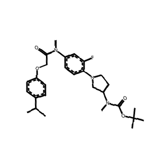 CC(C)c1ccc(OCC(=O)N(C)c2ccc(N3CCC(N(C)C(=O)OC(C)(C)C)C3)c(F)c2)cc1